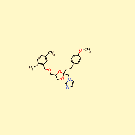 COc1ccc(CCC2(Cn3ccnc3)OCC(COCc3cc(C)ccc3C)O2)cc1